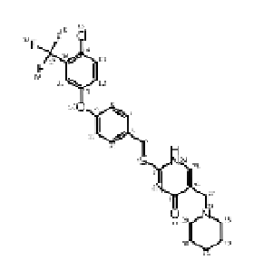 O=c1nc(SCc2ccc(Oc3ccc(Cl)c(C(F)(F)F)c3)cc2)[nH]cc1CN1CCCCC1